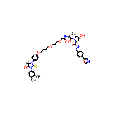 CC(C)(C)[C@H](NC(=O)COCCCOCCCCOc1ccc(N2C(=S)N(c3ccc(C#N)c(C(F)(F)F)c3)C(=O)C2(C)C)cc1)C(=O)N1C[C@H](O)C[C@H]1C(=O)NCc1ccc(-c2cnco2)cc1